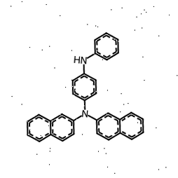 c1ccc(Nc2ccc(N(c3ccc4ccccc4c3)c3ccc4ccccc4c3)cc2)cc1